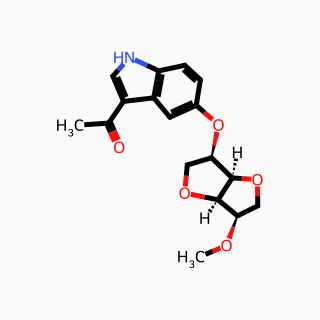 CO[C@@H]1CO[C@H]2[C@@H]1OC[C@H]2Oc1ccc2[nH]cc(C(C)=O)c2c1